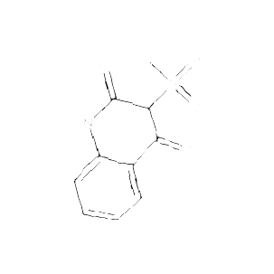 O=C1Nc2ccccc2C(=O)C1S(=O)(=O)Cl